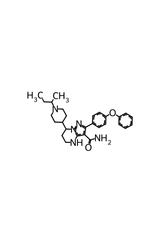 CCC(C)N1CCC(C2CCNc3c(C(N)=O)c(-c4ccc(Oc5ccccc5)cc4)nn32)CC1